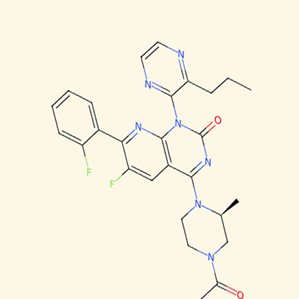 C=CC(=O)N1CCN(c2nc(=O)n(-c3nccnc3CCC)c3nc(-c4ccccc4F)c(F)cc23)[C@@H](C)C1